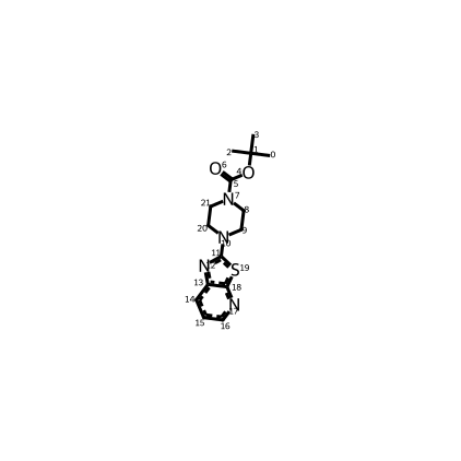 CC(C)(C)OC(=O)N1CCN(c2nc3cccnc3s2)CC1